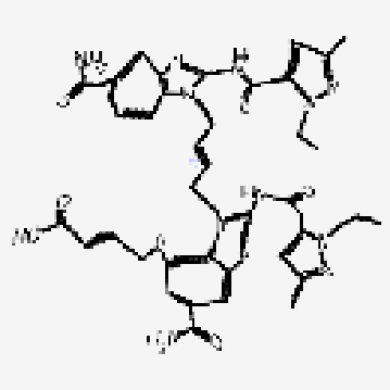 CCn1nc(C)cc1C(=O)Nc1nc2cc(C(N)=O)ccc2n1C/C=C/Cn1c(NC(=O)c2cc(C)nn2CC)nc2cc(C(N)=O)cc(OCCCC(=O)O)c21